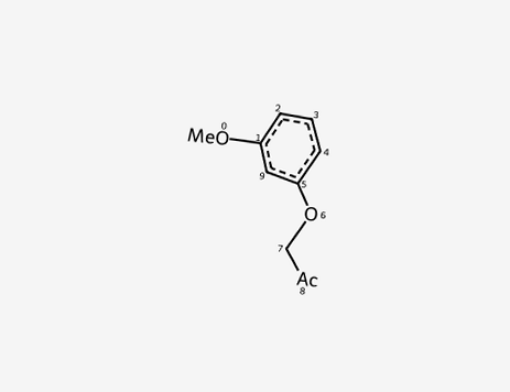 COc1cccc(OCC(C)=O)c1